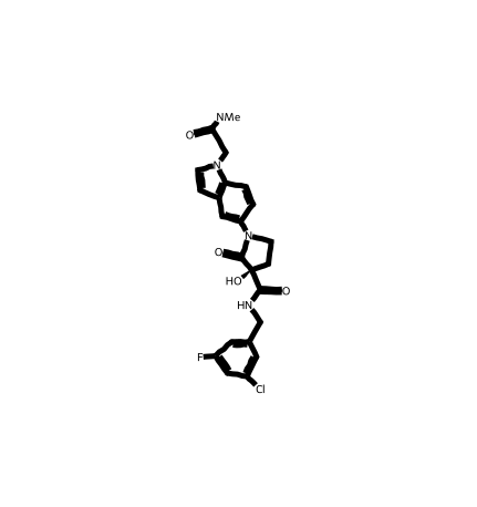 CNC(=O)Cn1ccc2cc(N3CC[C@](O)(C(=O)NCc4cc(F)cc(Cl)c4)C3=O)ccc21